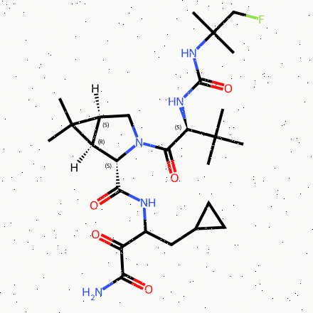 CC(C)(CF)NC(=O)N[C@H](C(=O)N1C[C@H]2[C@@H]([C@H]1C(=O)NC(CC1CC1)C(=O)C(N)=O)C2(C)C)C(C)(C)C